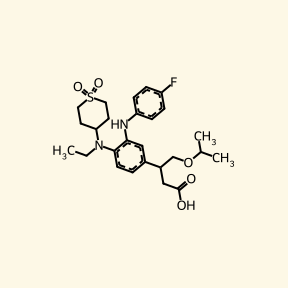 CCN(c1ccc(C(COC(C)C)CC(=O)O)cc1Nc1ccc(F)cc1)C1CCS(=O)(=O)CC1